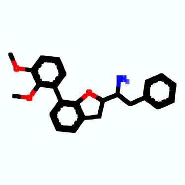 COc1cccc(-c2cccc3c2OC(C(N)Cc2ccccc2)C3)c1OC